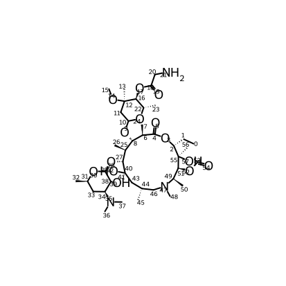 CC[C@H]1OC(=O)[C@H](C)[C@@H](OC2C[C@@](C)(OC)[C@@H](OC(=O)CN)[C@H](C)O2)[C@H](C)[C@@H](O[C@@H]2O[C@H](C)C[C@H](N(C)C)[C@H]2O)[C@](C)(O)C[C@@H](C)CN(C)[C@H](C)[C@H](OC=O)[C@]1(C)O